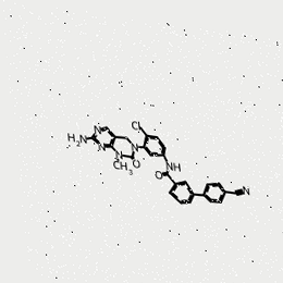 CN1C(=O)N(c2cc(NC(=O)c3cccc(-c4ccc(C#N)cc4)c3)ccc2Cl)Cc2cnc(N)nc21